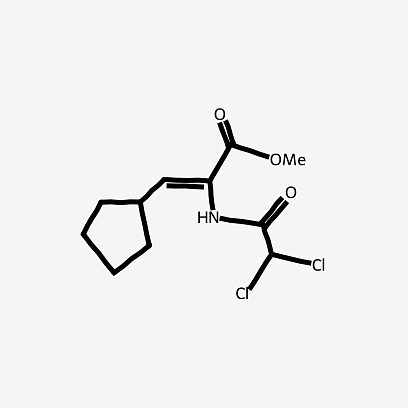 COC(=O)C(=CC1CCCC1)NC(=O)C(Cl)Cl